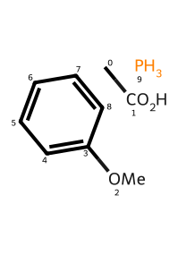 CC(=O)O.COc1ccccc1.P